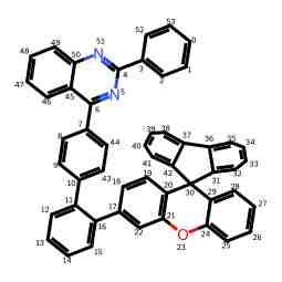 c1ccc(-c2nc(-c3ccc(-c4ccccc4-c4ccc5c(c4)Oc4ccccc4C54c5ccccc5-c5ccccc54)cc3)c3ccccc3n2)cc1